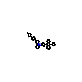 Cc1ccc(-c2ccc(-c3ccc4c(c3)c3ccccc3n4-c3ccc(-c4c5ccccc5c(-c5ccccc5)c5ccccc45)cc3)cc2)cc1